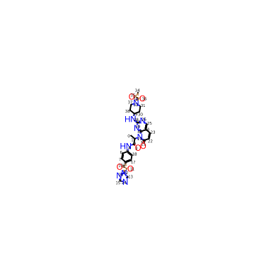 CC(C(=O)Nc1ccc(S(=O)(=O)n2cncn2)cc1)n1c(=O)ccc2cnc(NC3CCN(S(C)(=O)=O)CC3)nc21